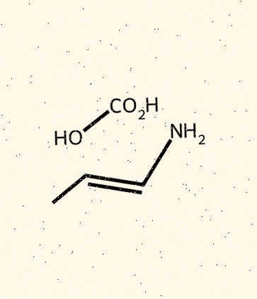 C/C=C/N.O=C(O)O